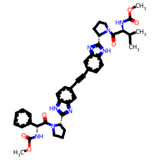 COC(=O)N[C@H](C(=O)N1CCC[C@H]1c1nc2cc(C#Cc3ccc4[nH]c([C@@H]5CCCN5C(=O)[C@H](NC(=O)OC)c5ccccc5)nc4c3)ccc2[nH]1)C(C)C